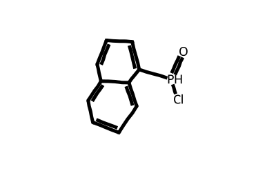 O=[PH](Cl)c1cccc2ccccc12